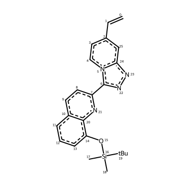 C=Cc1ccn2c(-c3ccc4cccc(O[Si](C)(C)C(C)(C)C)c4n3)nnc2c1